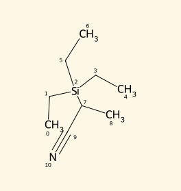 CC[Si](CC)(CC)C(C)C#N